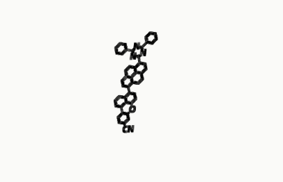 N#Cc1ccc2c(c1)Oc1ccc(-c3ccc4ccc5c(-c6nc(-c7ccccc7)nc(-c7ccccc7)n6)ccc6ccc3c4c65)c3cccc-2c13